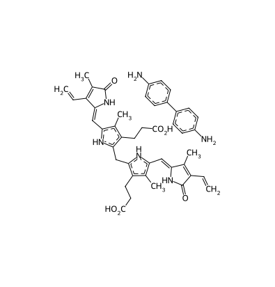 C=CC1=C(C)/C(=C/c2[nH]c(Cc3[nH]c(/C=C4\NC(=O)C(C)=C4C=C)c(C)c3CCC(=O)O)c(CCC(=O)O)c2C)NC1=O.Nc1ccc(-c2ccc(N)cc2)cc1